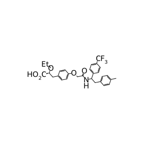 CCO[C@@H](Cc1ccc(OCC(=O)NC(Cc2ccc(C)cc2)c2ccc(C(F)(F)F)cc2)cc1)C(=O)O